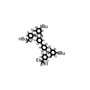 CCCCC(C)(C)c1cccc(N(c2ccc(-c3ccc(N(c4ccc(C(C)(CC)CC)cc4)c4c(C)cc(C(C)(C)C)cc4C)cc3)cc2)c2c(C)cc(C(C)(C)C)cc2C)c1